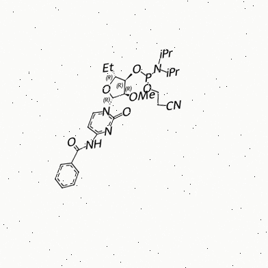 CC[C@H]1O[C@@H](n2ccc(NC(=O)c3ccccc3)nc2=O)[C@H](OC)[C@@H]1OP(OCCC#N)N(C(C)C)C(C)C